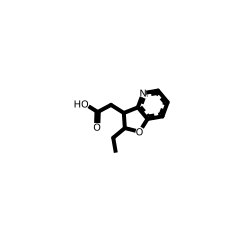 CCC1Oc2cccnc2C1CC(=O)O